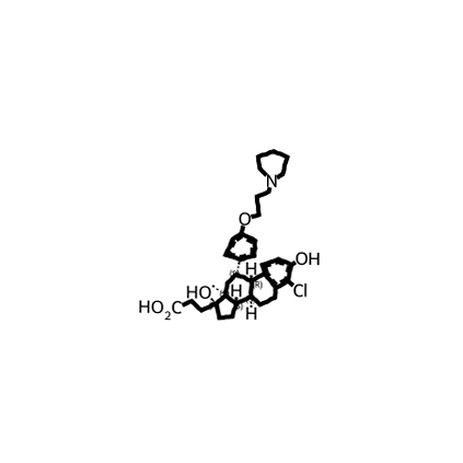 C[C@]12C[C@H](c3ccc(OCCCN4CCCCC4)cc3)[C@@H]3c4ccc(O)c(Cl)c4CC[C@H]3[C@@H]1CC[C@@]2(O)CCC(=O)O